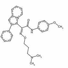 COc1ccc(NC(=O)/C(=N\OCCCN(C)C)c2c(-c3ccccc3)cc3ccccn23)cc1